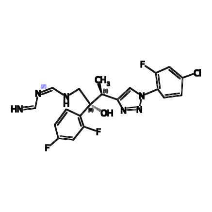 C[C@@H](c1cn(-c2ccc(Cl)cc2F)nn1)[C@](O)(CN/C=N\C=N)c1ccc(F)cc1F